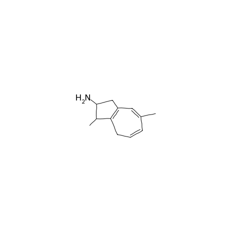 CC1=CC2=C(CC=C1)C(C)C(N)C2